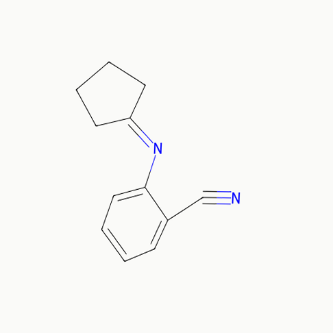 N#Cc1ccccc1N=C1CCCC1